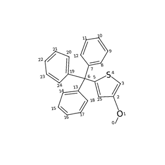 COc1csc(C(c2ccccc2)(c2ccccc2)c2ccccc2)c1